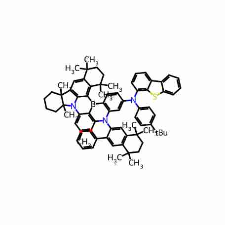 Cc1cc2c3c(c1)N1c4c(cc5c(c4B3c3ccc(N(c4ccc(C(C)(C)C)cc4)c4cccc6c4sc4ccccc46)cc3N2c2cc3c(cc2-c2ccccc2)C(C)(C)CCC3(C)C)C(C)(C)CCC5(C)C)C2(C)CCCCC12C